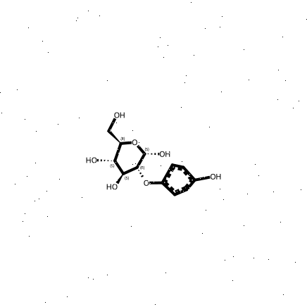 OC[C@H]1O[C@H](O)[C@H](Oc2ccc(O)cc2)[C@@H](O)[C@@H]1O